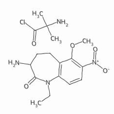 CC(C)(N)C(=O)Cl.CCN1C(=O)C(N)CCc2c1ccc([N+](=O)[O-])c2OC